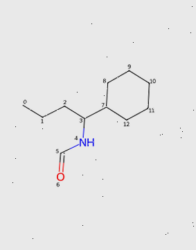 CCCC(N[C]=O)C1CCCCC1